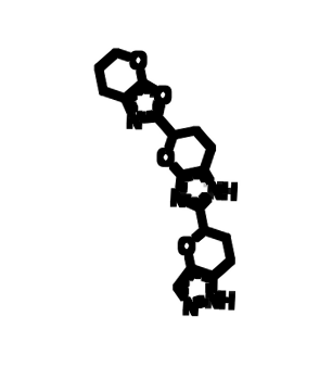 c1n[nH]c2c1OC(c1nc3c([nH]1)CCC(c1nc4c(o1)OCCC4)O3)CC2